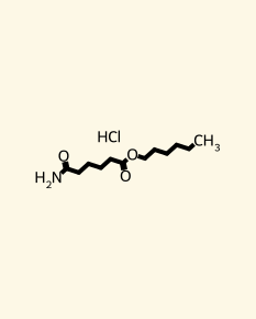 CCCCCCOC(=O)CCCCC(N)=O.Cl